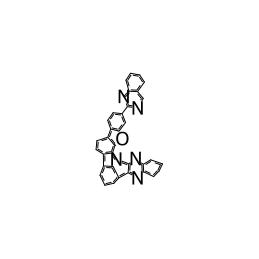 c1ccc2nc(-c3ccc4c(c3)oc3c4ccc4c5cccc6c7nc8ccccc8nc7n(c56)c43)ncc2c1